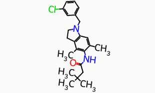 Cc1cc2c(c(C)c1NC(=O)CC(C)(C)C)CCN2Cc1cccc(Cl)c1